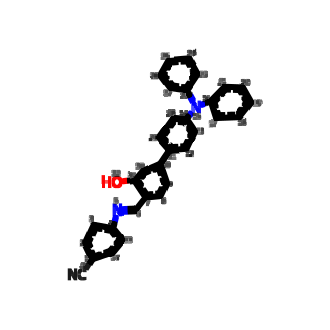 N#Cc1ccc(N=Cc2ccc(-c3ccc(N(c4ccccc4)c4ccccc4)cc3)cc2O)cc1